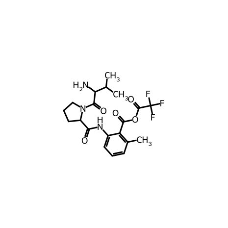 Cc1cccc(NC(=O)C2CCCN2C(=O)C(N)C(C)C)c1C(=O)OC(=O)C(F)(F)F